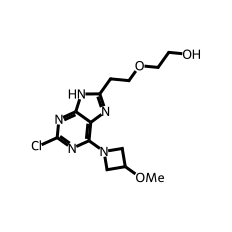 COC1CN(c2nc(Cl)nc3[nH]c(CCOCCO)nc23)C1